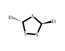 CC[C@H]1SS[C@H](CC)S1